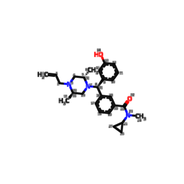 C=CCN1C[C@H](C)N([C@@H](c2cccc(O)c2)c2cccc(C(=O)N(C)C3CC3)c2)C[C@H]1C